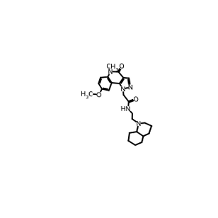 COc1ccc2c(c1)c1c(cnn1CC(=O)NCCN1CCCC3CCCCC31)c(=O)n2C